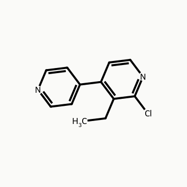 CCc1c(-c2ccncc2)ccnc1Cl